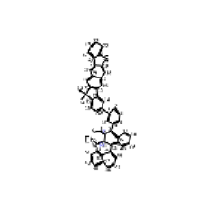 C/C=c1/c(-c2cccc(-c3ccc4c(c3)-c3cc5cc6sc7ccccc7c6cc5cc3C4(C)C)c2)c2ccccc2c(-c2cccc3ccccc23)/c1=C/CC